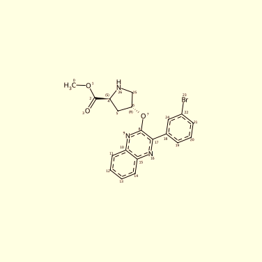 COC(=O)[C@@H]1C[C@@H](Oc2nc3ccccc3nc2-c2cccc(Br)c2)CN1